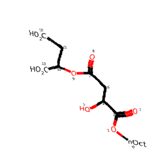 CCCCCCCCOC(=O)C(O)CC(=O)OC(CC(=O)O)C(=O)O